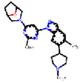 COc1nc(N2CC3CCC(C2)O3)cc(-n2ncc3cc(C)c(C4CCN(C(=O)O)CC4)cc32)n1